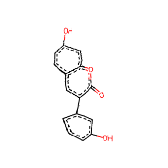 O=c1oc2cc(O)ccc2cc1-c1cccc(O)c1